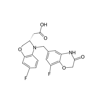 O=C(O)C[C@H]1COc2cc(F)ccc2N1Cc1cc(F)c2c(c1)NC(=O)CO2